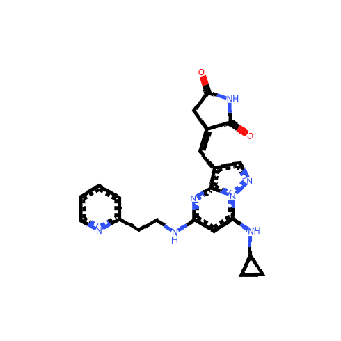 O=C1CC(=Cc2cnn3c(NC4CC4)cc(NCCc4ccccn4)nc23)C(=O)N1